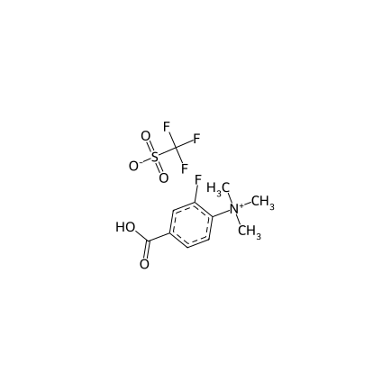 C[N+](C)(C)c1ccc(C(=O)O)cc1F.O=S(=O)([O-])C(F)(F)F